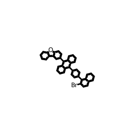 Brc1ccc2ccccc2c1-c1ccc(-c2c3ccccc3c(-c3ccc4oc5ccccc5c4c3)c3ccccc23)cc1